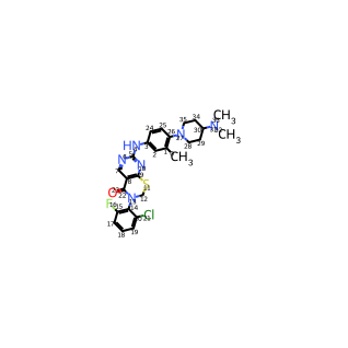 Cc1cc(Nc2ncc3c(n2)SCN(c2c(F)cccc2Cl)C3=O)ccc1N1CCC(N(C)C)CC1